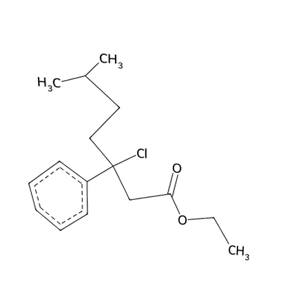 CCOC(=O)CC(Cl)(CCC(C)C)c1ccccc1